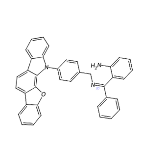 Nc1ccccc1/C(=N\Cc1ccc(-n2c3ccccc3c3ccc4c5ccccc5oc4c32)cc1)c1ccccc1